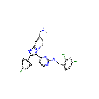 CN(C)Cc1ccn2c(-c3ccnc(NCc4ccc(F)cc4Cl)n3)c(-c3ccc(F)cc3)nc2c1